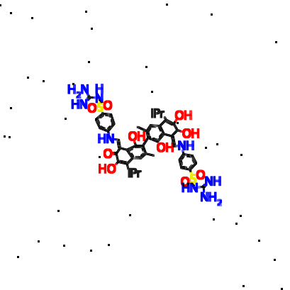 Cc1cc2c(c(O)c1-c1c(C)cc3c(c1O)/C(=C/Nc1ccc(S(=O)(=O)NC(=N)N)cc1)C(O)C(O)=C3C(C)C)/C(=C/Nc1ccc(S(=O)(=O)NC(=N)N)cc1)C(=O)C(O)=C2C(C)C